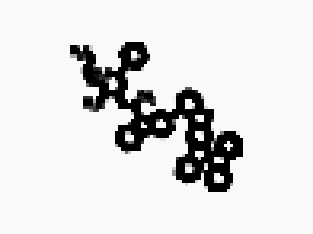 C=C\C=C/C=C(C)/C(=C/C(=C)n1c2ccccc2c2ccc(C3=CC=CC4Oc5cc6c(cc5C34)-c3ccccc3C63c4ccccc4-c4ccccc43)cc21)/C=C(\C)c1ccccc1